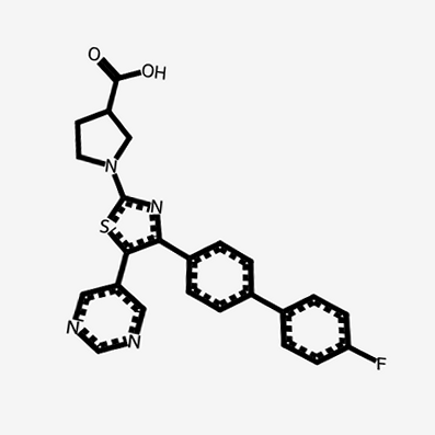 O=C(O)C1CCN(c2nc(-c3ccc(-c4ccc(F)cc4)cc3)c(-c3cncnc3)s2)C1